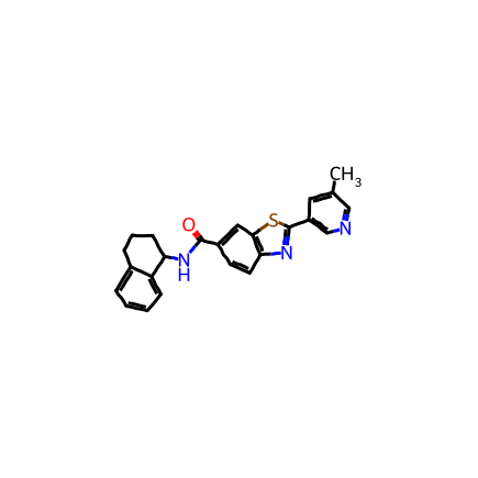 Cc1cncc(-c2nc3ccc(C(=O)NC4CCCc5ccccc54)cc3s2)c1